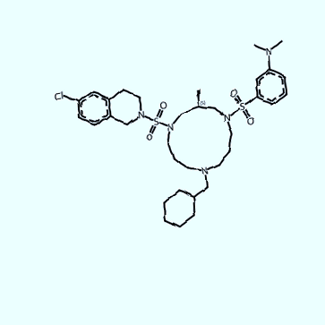 C[C@H]1CN(S(=O)(=O)c2cccc(N(C)C)c2)CCCN(CC2CCCCC2)CCCN(S(=O)(=O)N2CCc3cc(Cl)ccc3C2)C1